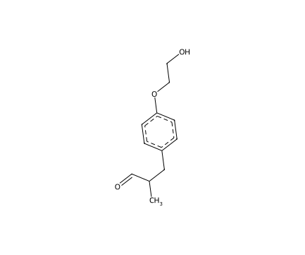 CC(C=O)Cc1ccc(OCCO)cc1